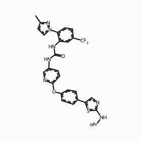 CCCNc1ncc(-c2ccc(Oc3ccc(NC(=O)Nc4cc(C(F)(F)F)ccc4-n4ccc(C)n4)cn3)cc2)s1